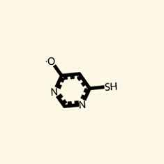 [O]c1cc(S)ncn1